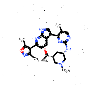 CNC(=O)[C@@H]1C[C@H](Nc2ncc(C(F)(F)F)c(-c3c[nH]c4nc(-c5c(C)noc5C)ccc34)n2)CN(C(=O)O)C1